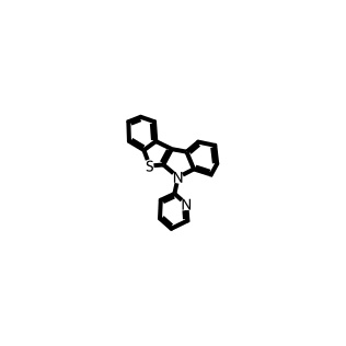 c1ccc(-n2c3ccccc3c3c4ccccc4sc32)nc1